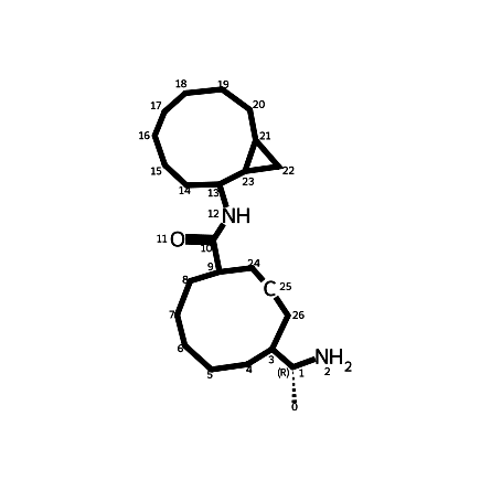 C[C@@H](N)C1CCCCCC(C(=O)NC2CCCCCCCC3CC32)CCC1